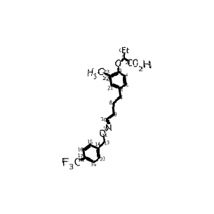 CCC(Oc1ccc(CCCC=NOCc2ccc(C(F)(F)F)cc2)cc1C)C(=O)O